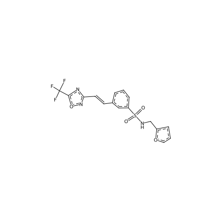 O=S(=O)(NCc1ccco1)c1cccc(/C=C/c2noc(C(F)(F)F)n2)c1